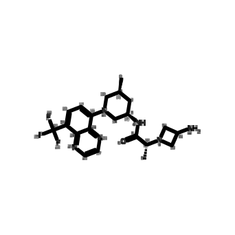 C[C@H]1C[C@@H](NC(=O)[C@@H](C)N2CC(N)C2)CN(c2ccc(C(F)(F)F)c3nccnc23)C1